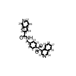 O=C(NCc1ccc(S(=O)(=O)c2cncc3ccccc23)cc1)c1cc2ccncc2s1